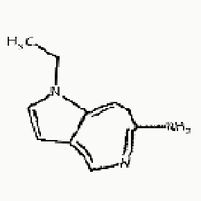 CCn1ccc2cnc(N)cc21